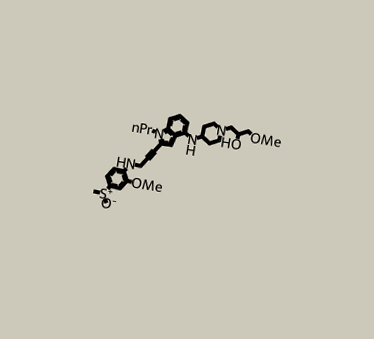 CCCn1c(C#CCNc2ccc([S+](C)[O-])cc2OC)cc2c(NC3CCN(CC(O)COC)CC3)cccc21